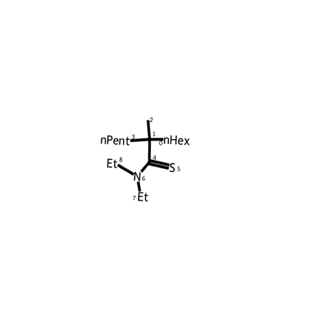 CCCCCCC(C)(CCCCC)C(=S)N(CC)CC